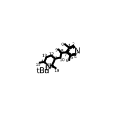 Cc1cncc(C)c1C(C)CC1CCC(C)N(C(C)(C)C)C1C